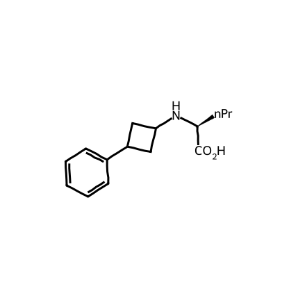 CCC[C@H](NC1CC(c2ccccc2)C1)C(=O)O